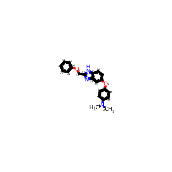 CN(C)c1ccc(Oc2ccc3[nH]c(COc4ccccc4)nc3c2)cc1